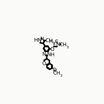 COc1ccc2c(c1)CC(c1nc3cc(C4CNN=C4C)cc(OCCN(C)C)c3[nH]1)CO2